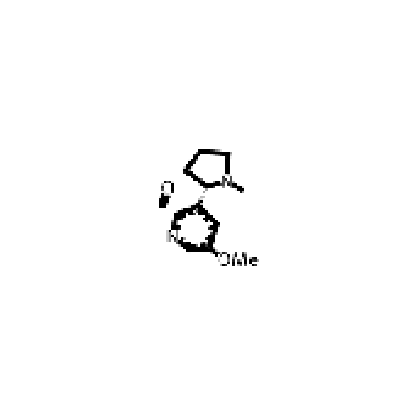 C=O.COc1cncc([C@@H]2CCCN2C)c1